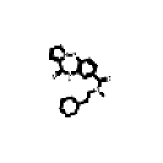 CN(CCC1CCCCC1)C(=O)c1ccc2c(c1)NC(=O)C1=CCCN1S2